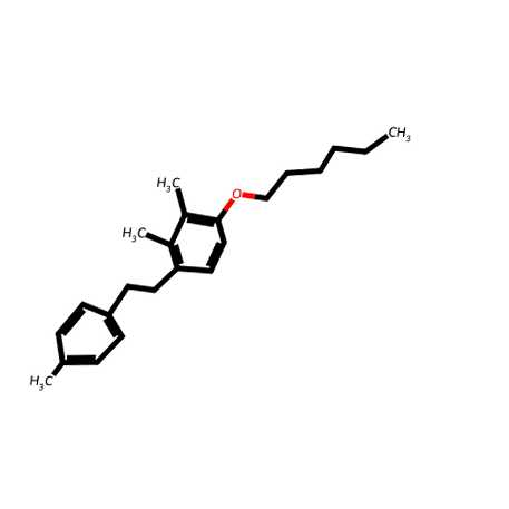 CCCCCCOc1ccc(CCc2ccc(C)cc2)c(C)c1C